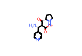 N[C@@H](c1ccncc1)C(C(=O)O)C(=O)[C@@H]1CCCN1